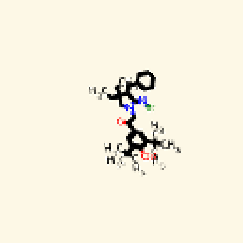 CCC1(CC)CN(CC(=O)c2cc(C(C)(C)C)c(O)c(C(C)(C)C)c2)/C(=N\Br)C1Cc1ccccc1